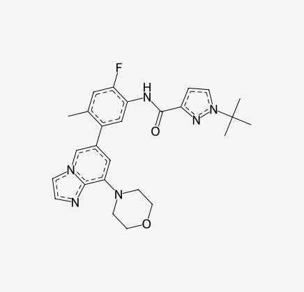 Cc1cc(F)c(NC(=O)c2ccn(C(C)(C)C)n2)cc1-c1cc(N2CCOCC2)c2nccn2c1